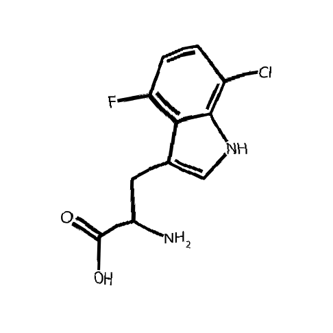 NC(Cc1c[nH]c2c(Cl)ccc(F)c12)C(=O)O